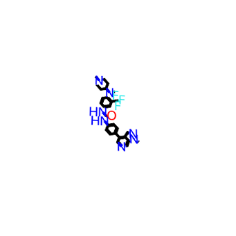 CN1CCC(N(C)c2ccc(NC(=O)Nc3ccc(-c4cncc5c4cnn5C)cc3)cc2C(F)(F)F)CC1